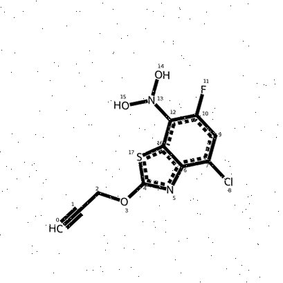 C#CCOc1nc2c(Cl)cc(F)c(N(O)O)c2s1